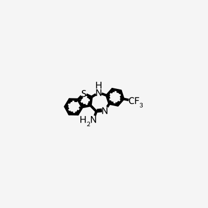 NC1=Nc2cc(C(F)(F)F)ccc2Nc2sc3ccccc3c21